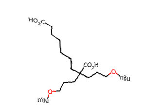 CCCCOCCCC(CCCCCCC(=O)O)(CCCOCCCC)C(=O)O